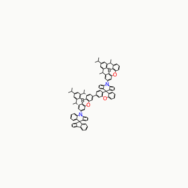 CC(C)c1cc(C(C)C)c(B2c3ccc(-c4ccc5c(c4)Oc4ccccc4C54c5ccccc5N(c5cc6c7c(c5)C(C)c5cc(C(C)C)cc8c5B7c5c(cccc5C8C)O6)c5ccccc54)cc3Oc3cc(N4c5ccccc5C5(c6ccccc6-c6ccccc65)c5ccccc54)ccc32)c(C(C)C)c1